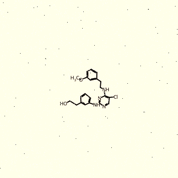 COc1cccc(CCNc2nc(Nc3cccc(CCO)c3)ncc2Cl)c1